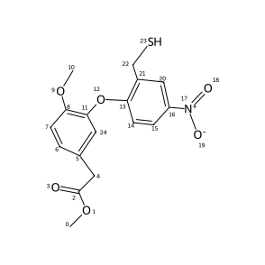 COC(=O)Cc1ccc(OC)c(Oc2ccc([N+](=O)[O-])cc2CS)c1